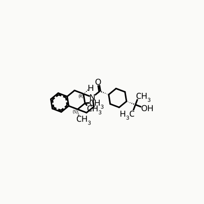 CC1(C)[C@H]2Cc3ccccc3[C@]1(C)CCN2C(=O)[C@H]1CC[C@@H](C(C)(C)O)CC1